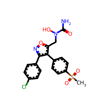 CS(=O)(=O)c1ccc(-c2c(-c3ccc(Cl)cc3)noc2CN(O)C(N)=O)cc1